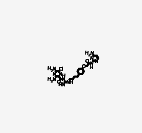 N=C(NCCCCC1CCC(OCC(=O)Nc2nccc(N)n2)CC1)NC(=O)c1nc(Cl)c(N)nc1N